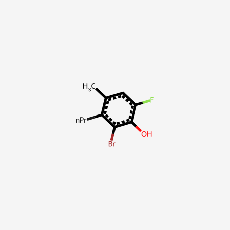 CCCc1c(C)cc(F)c(O)c1Br